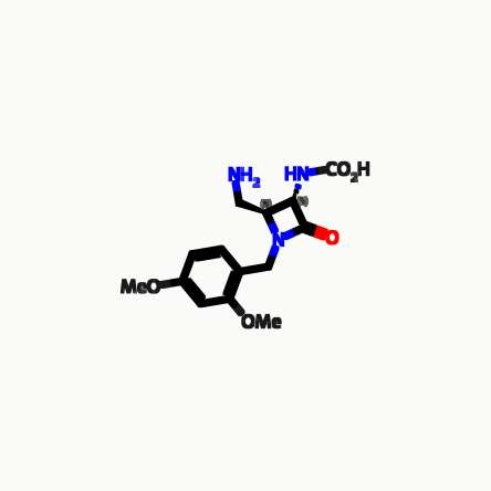 COc1ccc(CN2C(=O)[C@@H](NC(=O)O)[C@@H]2CN)c(OC)c1